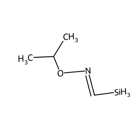 CC(C)O/N=C/[SiH3]